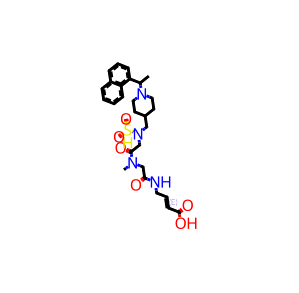 CC(c1cccc2ccccc12)N1CCC(CN(CC(=O)N(C)CC(=O)NC/C=C/C(=O)O)[SH](=O)=O)CC1